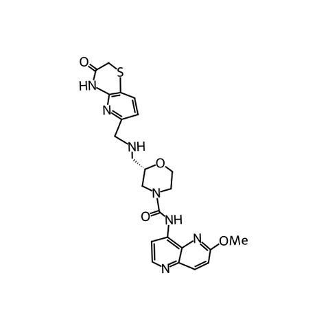 COc1ccc2nccc(NC(=O)N3CCO[C@@H](CNCc4ccc5c(n4)NC(=O)CS5)C3)c2n1